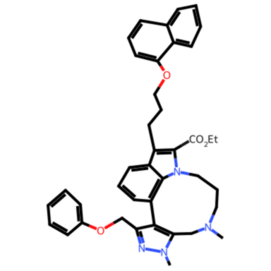 CCOC(=O)c1c(CCCOc2cccc3ccccc23)c2cccc3c2n1CCCN(C)Cc1c-3c(COc2ccccc2)nn1C